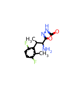 Cc1c(F)ccc(F)c1C(C)C(N)c1n[nH]c(=O)o1